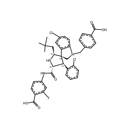 CC(C)(C)C[C@@H]1N[C@@H](C(=O)Nc2ccc(C(=O)O)c(F)c2)[C@H](c2ccccc2Cl)[C@]12CN(Cc1ccc(C(=O)O)cc1)c1ccc(Cl)cc12